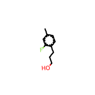 Cc1ccc(CCCO)c(F)c1